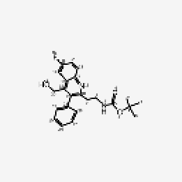 CC(C)(C)OC(=O)NCCc1nc2ccc(F)cc2c(CO)c1-c1ccccc1